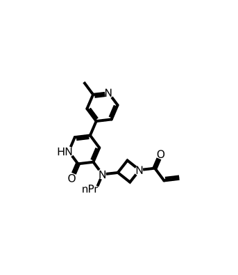 C=CC(=O)N1CC(N(CCC)c2cc(-c3ccnc(C)c3)c[nH]c2=O)C1